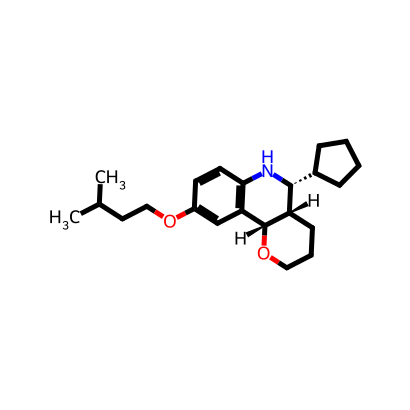 CC(C)CCOc1ccc2c(c1)[C@H]1OCCC[C@H]1[C@@H](C1CCCC1)N2